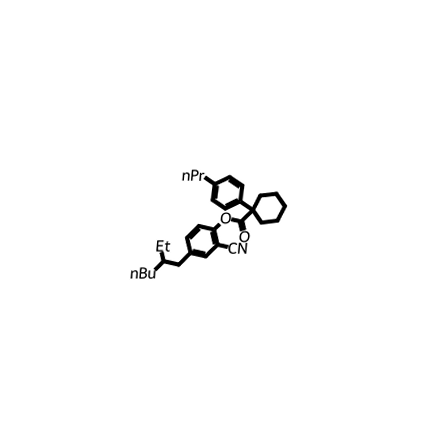 CCCCC(CC)Cc1ccc(OC(=O)C2(c3ccc(CCC)cc3)CCCCC2)c(C#N)c1